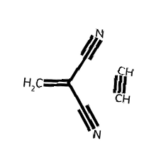 C#C.C=C(C#N)C#N